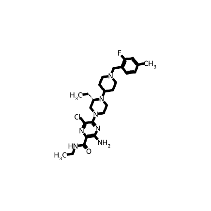 CCNC(=O)c1nc(Cl)c(N2CCN(C3CCN(Cc4ccc(C)cc4F)CC3)[C@@H](CC)C2)nc1N